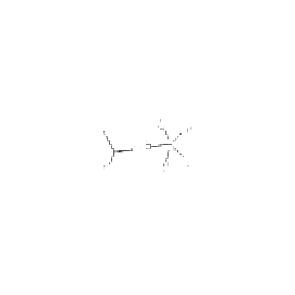 CC(Cl)Cl.ClP(Cl)(Cl)(Cl)Cl